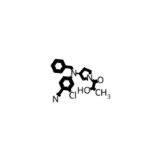 CC(O)C(=O)N1CC[C@H](N(Cc2ccccc2)c2ccc(C#N)c(Cl)c2)C1